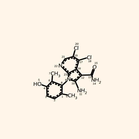 Cc1ccc(O)c(C)c1-n1c(N)c(C(N)=O)c2c(Cl)c(Cl)cnc21